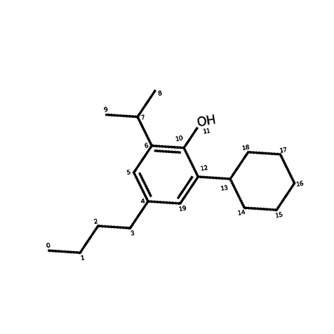 CCCCc1cc(C(C)C)c(O)c(C2CCCCC2)c1